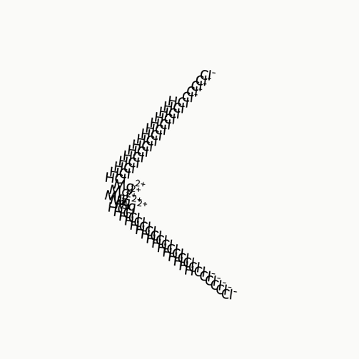 Cl.Cl.Cl.Cl.Cl.Cl.Cl.Cl.Cl.Cl.Cl.Cl.Cl.Cl.Cl.Cl.Cl.Cl.Cl.Cl.Cl.Cl.Cl.Cl.Cl.Cl.Cl.Cl.Cl.Cl.[Cl-].[Cl-].[Cl-].[Cl-].[Cl-].[Cl-].[Cl-].[Cl-].[Cl-].[Cl-].[Mg+2].[Mg+2].[Mg+2].[Mg+2].[Mg+2]